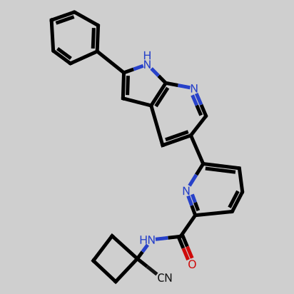 N#CC1(NC(=O)c2cccc(-c3cnc4[nH]c(-c5ccccc5)cc4c3)n2)CCC1